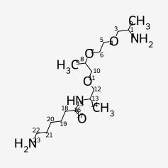 CC(N)COCCOC(C)COCC(C)NC(=O)CCCCCN